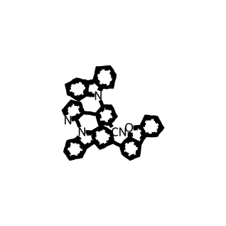 N#Cc1ccc(-n2c3ccccc3c3ccccc32)c(-c2cccnc2-n2c3ccccc3c3cc(-c4cccc5c4oc4ccccc45)ccc32)c1